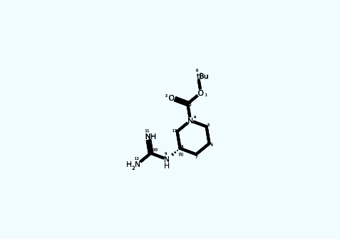 CC(C)(C)OC(=O)N1CCC[C@H](NC(=N)N)C1